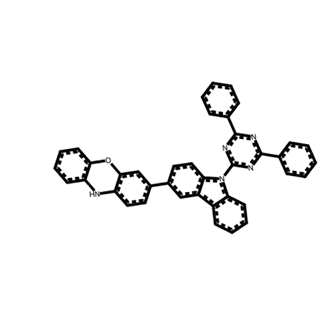 c1ccc(-c2nc(-c3ccccc3)nc(-n3c4ccccc4c4cc(-c5ccc6c(c5)Oc5ccccc5N6)ccc43)n2)cc1